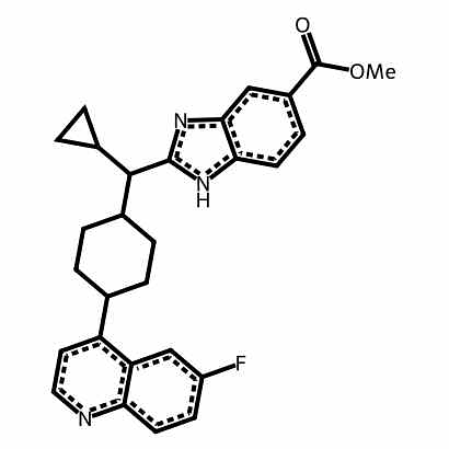 COC(=O)c1ccc2[nH]c(C(C3CCC(c4ccnc5ccc(F)cc45)CC3)C3CC3)nc2c1